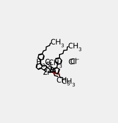 CCCCCCC1=C2c3c(-c4ccc(CCCCCC)cc4)cccc3[CH]1[Zr+2][CH]1C(CCCCCC)=C(c3c(-c4ccc(CCCCCC)cc4)cccc31)[Si]2(C)C.[Cl-].[Cl-]